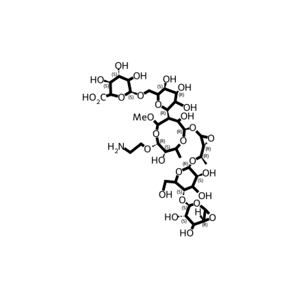 COC1O[C@@H](OCCN)[C@@H](O)C(C)O[C@H](OC2O[C@@H]2[C@@H](C)O[C@@H]2OC(CO)[C@@H](O[C@H]3OC4O[C@@H]4C(O)[C@@H]3O)C(O)[C@@H]2O)C(O)C1[C@H]1OC(CO[C@H]2OC(C(=O)O)[C@@H](O)[C@H](O)C2O)[C@@H](O)[C@H](O)C1O